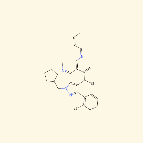 C=C(C(/C=N\C)=C\N=C/C=C\C)C(CC)c1cn(CC2CCCC2)nc1C1=C(CC)CCC=C1